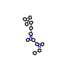 c1ccc(-c2cccc(-n3c4ccccc4c4cc(-c5ccc6c(c5)c5ccccc5n6-c5ccc(-c6ccc(-c7cccc(C8(c9ccccc9)c9ccccc9-c9ccccc98)c7)cc6)cc5)ccc43)c2)cc1